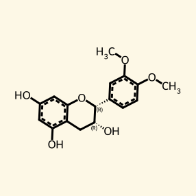 COc1ccc([C@H]2Oc3cc(O)cc(O)c3C[C@H]2O)cc1OC